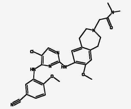 COc1cc2c(cc1Nc1ncc(Cl)c(Nc3cc(C#N)ccc3OC)n1)CCN(CC(=O)N(C)C)CC2